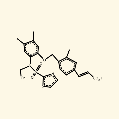 Cc1cc(OCc2ccc(/C=C/C(=O)O)cc2C)c(N(CC(C)C)S(=O)(=O)c2nccs2)cc1C